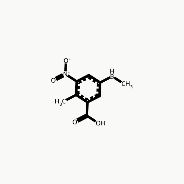 CBc1cc(C(=O)O)c(C)c([N+](=O)[O-])c1